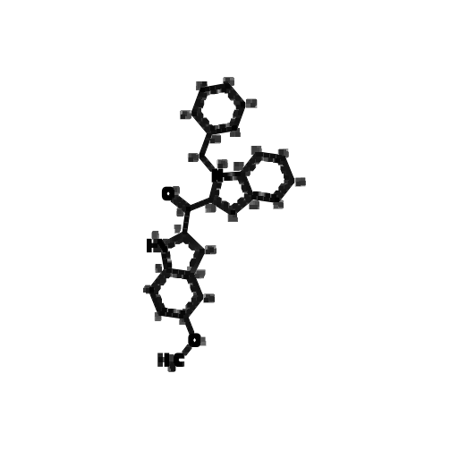 COc1ccc2[nH]c(C(=O)c3cc4ccccc4n3Cc3ccccc3)cc2c1